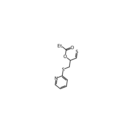 CCC(=O)OC(C=S)CSc1ccccn1